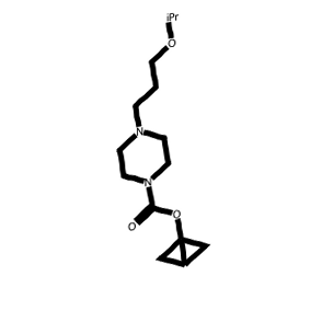 CC(C)OCCCN1CCN(C(=O)OC23CC2C3)CC1